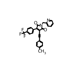 Cc1ccc(C#CC2=C(c3ccc(C(F)(F)F)cc3)C(=O)N(Cc3ccccn3)C2=O)cc1